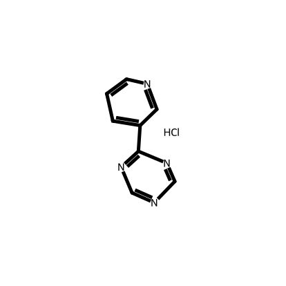 Cl.c1cncc(-c2ncncn2)c1